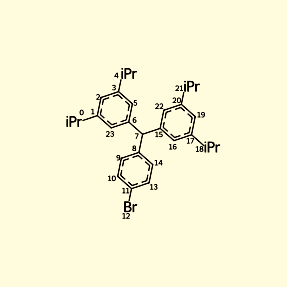 CC(C)c1cc(C(C)C)cc(C(c2ccc(Br)cc2)c2cc(C(C)C)cc(C(C)C)c2)c1